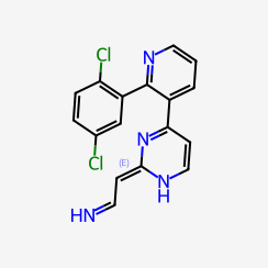 N=C/C=C1/N=C(c2cccnc2-c2cc(Cl)ccc2Cl)C=CN1